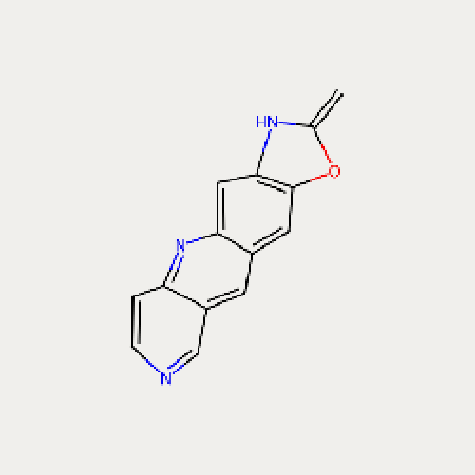 C=C1Nc2cc3nc4ccncc4cc3cc2O1